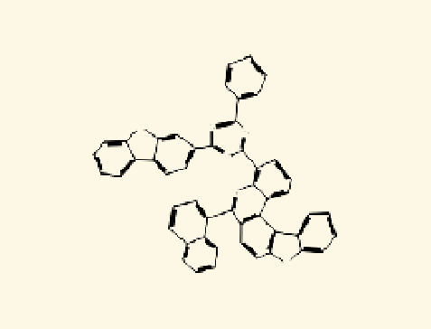 c1ccc(-c2nc(-c3ccc4c(c3)sc3ccccc34)nc(-c3cccc4c3nc(-c3cccc5ccccc35)c3ccc5sc6ccccc6c5c34)n2)cc1